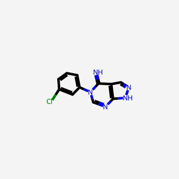 N=c1c2cn[nH]c2ncn1-c1cccc(Cl)c1